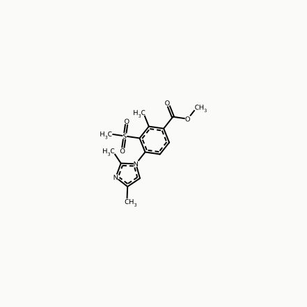 COC(=O)c1ccc(-n2cc(C)nc2C)c(S(C)(=O)=O)c1C